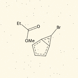 Brc1c2cccc1-2.CCC(=O)OC